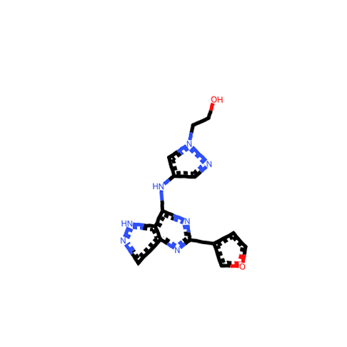 OCCn1cc(Nc2nc(-c3ccoc3)nc3cn[nH]c23)cn1